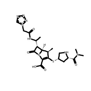 CC(NC(=O)Cn1cnnn1)[C@H]1C(=O)N2C(C(=O)O)=C(S[C@@H]3CN[C@H](C(=O)N(C)C)C3)[C@H](C)[C@H]12